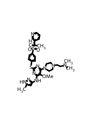 COc1c(Nc2cc(C)[nH]n2)nc(Sc2ccc(S(=O)(=O)C(C)(C)c3cccnc3)cc2)nc1N1CCN(CCN(C)C)CC1